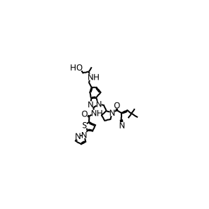 CC(CO)NCc1ccc2c(c1)nc(NC(=O)c1ccc(-n3cccn3)s1)n2CC1CCCN1C(=O)C(C#N)=CC(C)(C)C